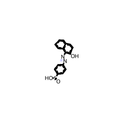 O=S(O)c1ccc(/N=N/c2c(O)ccc3ccccc23)cc1